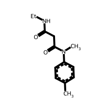 CCNC(=O)CC(=O)N(C)c1ccc(C)cc1